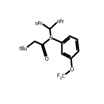 CCCC(CCC)N(C(=O)CC(C)(C)C)c1cccc(OC(F)(F)F)c1